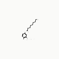 CCCCCc1ccc(OC(=O)CCCCCCCBr)cc1CCCCC